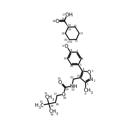 Cc1noc(-c2ccc(O[C@H]3CCC[C@H](C(=O)O)C3)cc2)c1CNC(=O)OCCC(C)(C)C